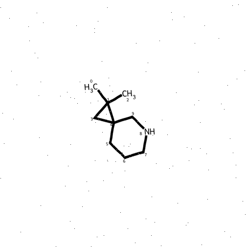 CC1(C)CC12CCCNC2